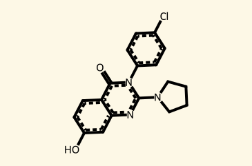 O=c1c2ccc(O)cc2nc(N2CCCC2)n1-c1ccc(Cl)cc1